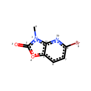 Cn1c(=O)oc2ccc(Br)nc21